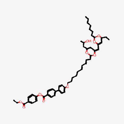 CCCCCCCC1OC(CC)CC(CC2CC(CC(C)O)OC(CCCCCCCCCCOc3ccc(-c4ccc(C(=O)Oc5ccc(C(=O)OCC)cc5)cc4)cc3)O2)O1